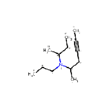 CC#CCC(C)N(CCC)C(C)CC